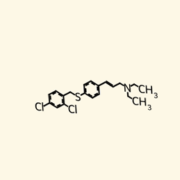 CCN(CC)CC=Cc1ccc(SCc2ccc(Cl)cc2Cl)cc1